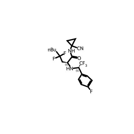 CCCCC(F)(F)C[C@H](N[C@@H](c1ccc(F)cc1)C(F)(F)F)C(=O)NC1(C#N)CC1